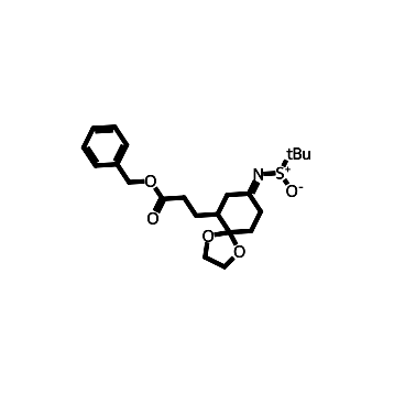 CC(C)(C)[S+]([O-])/N=C1\CCC2(OCCO2)C(CCC(=O)OCc2ccccc2)C1